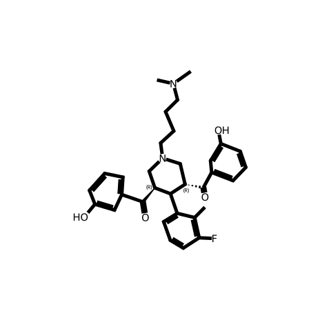 Cc1c(F)cccc1C1[C@@H](C(=O)c2cccc(O)c2)CN(CCCCN(C)C)C[C@@H]1C(=O)c1cccc(O)c1